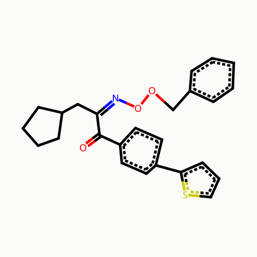 O=C(C(CC1CCCC1)=NOOCc1ccccc1)c1ccc(-c2cccs2)cc1